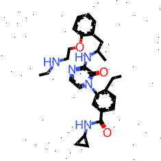 CCNCCOc1ccccc1CC(C)Nc1nccn(-c2cc(C(=O)NC3CC3)ccc2CC)c1=O